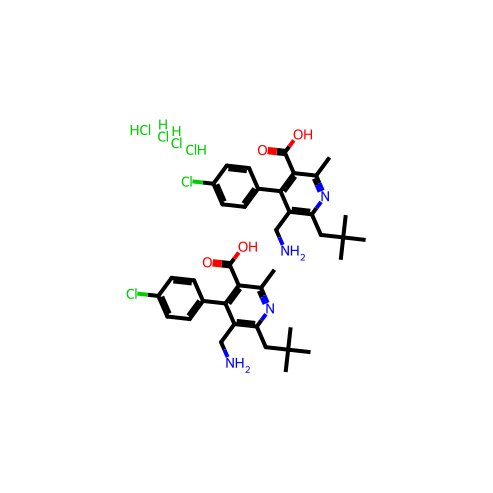 Cc1nc(CC(C)(C)C)c(CN)c(-c2ccc(Cl)cc2)c1C(=O)O.Cc1nc(CC(C)(C)C)c(CN)c(-c2ccc(Cl)cc2)c1C(=O)O.Cl.Cl.Cl.Cl